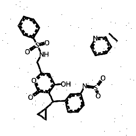 CC.O=c1oc(CNS(=O)(=O)c2ccccc2)cc(O)c1C(c1cccc(N=S(=O)=O)c1)C1CC1.c1ccncc1